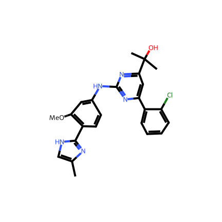 COc1cc(Nc2nc(-c3ccccc3Cl)cc(C(C)(C)O)n2)ccc1-c1nc(C)c[nH]1